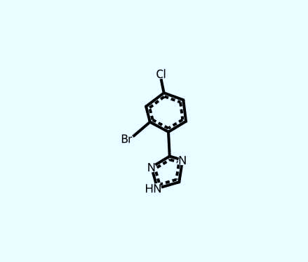 Clc1ccc(-c2nc[nH]n2)c(Br)c1